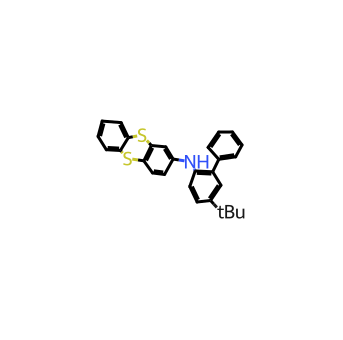 CC(C)(C)c1ccc(Nc2ccc3c(c2)Sc2ccccc2S3)c(-c2ccccc2)c1